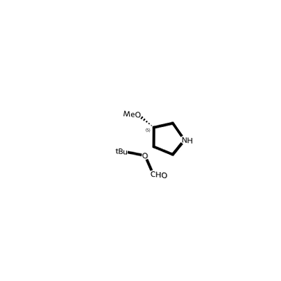 CC(C)(C)OC=O.CO[C@H]1CCNC1